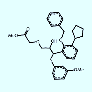 COC(=O)COCC(O)C(Sc1cccc(OC)c1)c1cccc(C2CCCC2)c1OCc1ccccc1